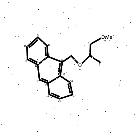 COCC(C)OCc1c2ccccc2cc2ccccc12